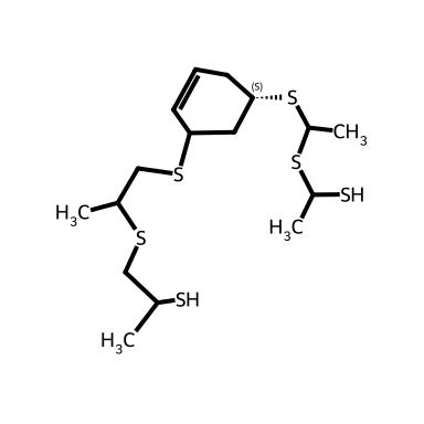 CC(S)CSC(C)CSC1C=CC[C@H](SC(C)SC(C)S)C1